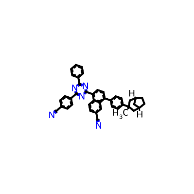 CC1(c2ccc(-c3ccc(-c4nc(-c5ccccc5)nc(-c5ccc(C#N)cc5)n4)c4ccc(C#N)cc34)cc2)C[C@@H]2CC[C@@H](C2)C1